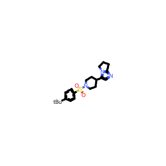 CC(C)(C)c1ccc(S(=O)(=O)N2CCC(c3cnc4n3CCC4)CC2)cc1